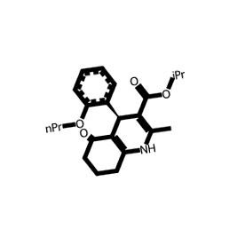 CCCOc1ccccc1[C@H]1C(C(=O)OC(C)C)=C(C)NC2=C1C(=O)CCC2